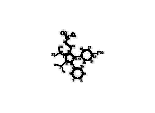 CC(C)c1c(-c2ccccc2)c(-c2ccc(F)cc2)c(/C=C/[N+](=O)[O-])n1C(C)C